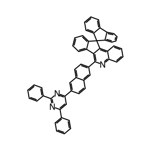 c1ccc(-c2cc(-c3ccc4cc(-c5nc6ccccc6c6c5-c5ccccc5C65c6ccccc6-c6ccccc65)ccc4c3)nc(-c3ccccc3)n2)cc1